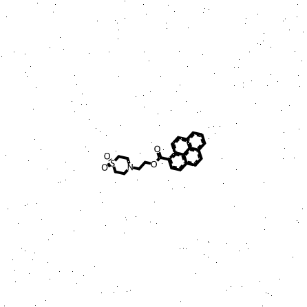 O=C(OCCN1CCS(=O)(=O)CC1)c1ccc2ccc3cccc4ccc1c2c34